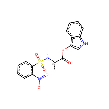 C[C@H](NS(=O)(=O)c1ccccc1[N+](=O)[O-])C(=O)Oc1c[nH]c2ccccc12